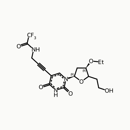 CCO[C@@H]1C[C@H](n2cc(C#CCNC(=O)C(F)(F)F)c(=O)[nH]c2=O)OC1CCO